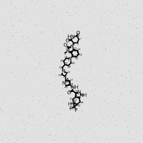 Cn1c(=O)n(C2CCC(=O)NC2=O)c2cccc(N3CCC(CN4CC(n5cc(NC(=O)c6n[nH]c7c6C[C@@H]6C(F)(F)[C@]6(C)C7)cn5)C4)CC3)c21